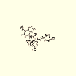 CO[C@H]1CC2(CCOc3ccc(Cl)cn3)OC1(C)[C@@H]1C(=O)N(c3ccc(C#N)c4ccccc34)C(=O)C12